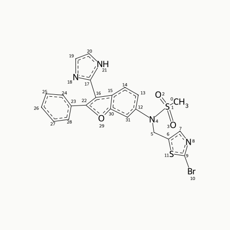 CS(=O)(=O)N(Cc1cnc(Br)s1)c1ccc2c(-c3ncc[nH]3)c(-c3ccccc3)oc2c1